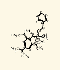 CC(C)c1cc(C(C)C)c(CP(N)(=O)OCc2ccccc2)c(C(C)C)c1